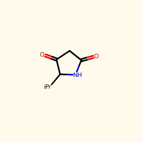 CC(C)C1NC(=O)CC1=O